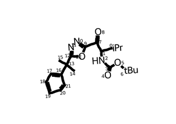 CC(C)C(NC(=O)OC(C)(C)C)C(=O)c1nnc(C(C)(C)c2ccccc2)o1